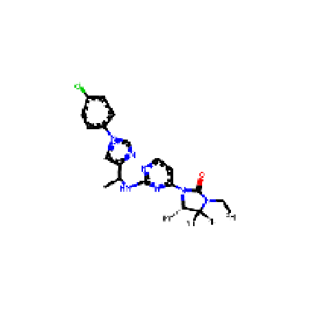 [2H]CN1C(=O)N(c2ccnc(NC(C)c3cn(-c4ccc(Cl)cc4)cn3)n2)[C@@H](C(C)C)C1([2H])[2H]